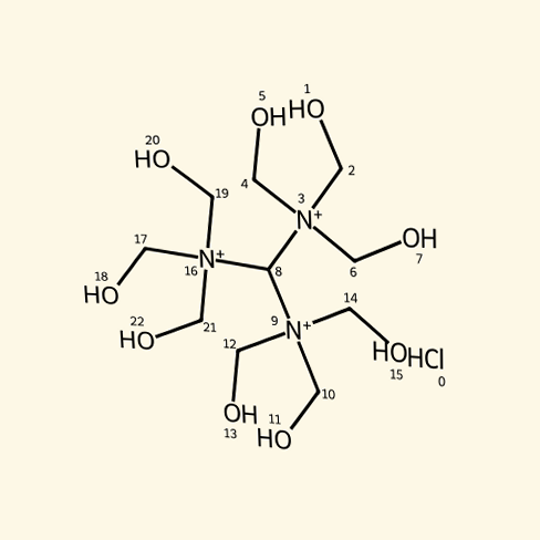 Cl.OC[N+](CO)(CO)C([N+](CO)(CO)CO)[N+](CO)(CO)CO